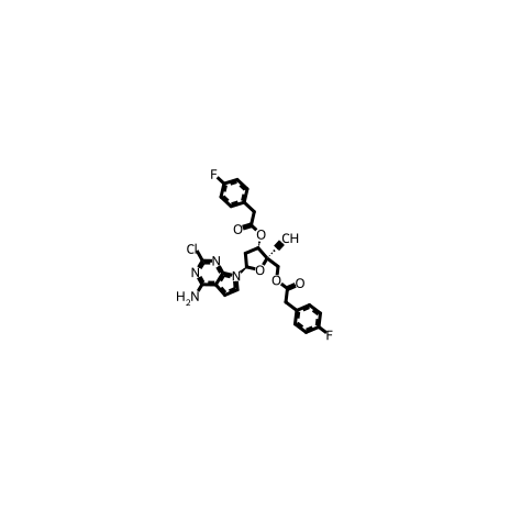 C#C[C@]1(COC(=O)Cc2ccc(F)cc2)O[C@@H](n2ccc3c(N)nc(Cl)nc32)C[C@@H]1OC(=O)Cc1ccc(F)cc1